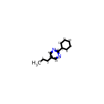 CCCc1cnc(C2CCCCC2)nc1